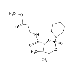 COC(=O)CCNC(=O)[C@@H]1OP(=O)(N2CCCCC2)OCC1(C)C